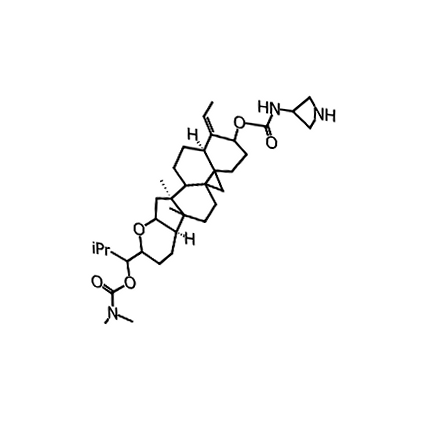 C/C=C1\C(OC(=O)NC2CNC2)CCC23CC24CCC2(C)[C@H]5CCC(C(OC(=O)N(C)C)C(C)C)OC5C[C@@]2(C)C4CC[C@@H]13